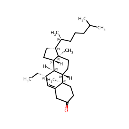 CC[C@H]1C=C2CC(=O)CC[C@]2(C)[C@H]2CC[C@]3(C)[C@@H]([C@H](C)CCCC(C)C)CC[C@H]3[C@H]12